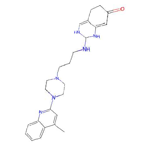 Cc1cc(N2CCN(CCCNC3NC=C4CCC(=O)C=C4N3)CC2)nc2ccccc12